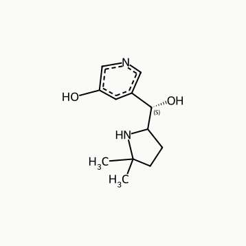 CC1(C)CCC([C@@H](O)c2cncc(O)c2)N1